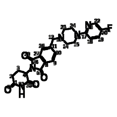 O=C1CCC(N2C(=O)c3ccc(CN4CCN(c5ccc(F)cn5)CC4)cc3C2=O)C(=O)N1